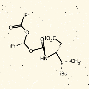 CC[C@@H](C)[C@@H](C)[C@@H](CC(=O)O)NC(=O)O[C@@H](OC(=O)C(C)C)C(C)C